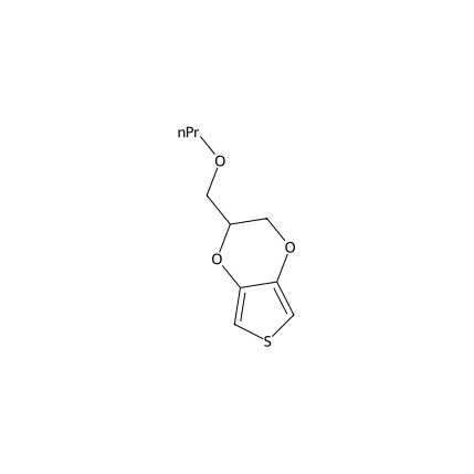 CCCOCC1COc2cscc2O1